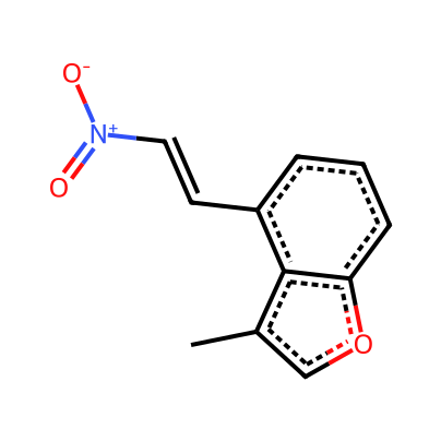 Cc1coc2cccc(C=C[N+](=O)[O-])c12